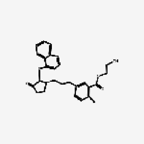 Cc1ccc(CCC[C@H]2CCC(=O)C2Sc2cccc3ccccc23)cc1C(=O)OCCO